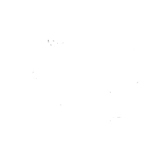 COc1c[c]cc(C(F)(F)F)c1OC(C)C